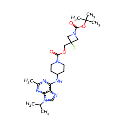 Cc1nc(NC2CCN(C(=O)OCC3(F)CN(C(=O)OC(C)(C)C)C3)CC2)c2ncn(C(C)C)c2n1